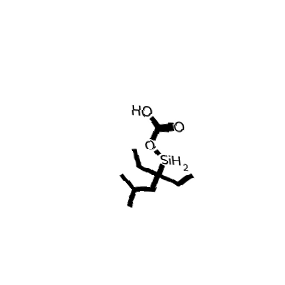 CCC(CC)(CC(C)C)[SiH2]OC(=O)O